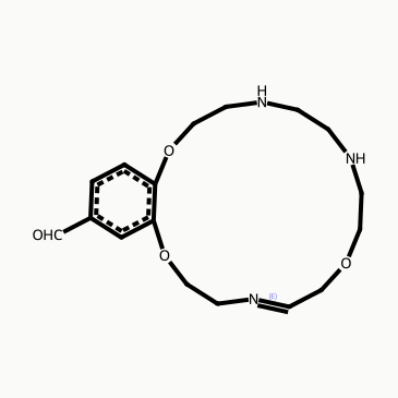 O=Cc1ccc2c(c1)OCC/N=C/COCCNCCNCCO2